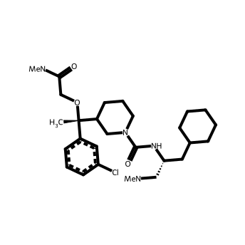 CNC[C@@H](CC1CCCCC1)NC(=O)N1CCCC([C@@](C)(OCC(=O)NC)c2cccc(Cl)c2)C1